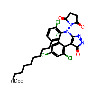 CCCCCCCCCCCCCCCCCCc1ccc(Cl)c(N(C2=C(c3c(Cl)cc(Cl)cc3Cl)C(=O)N=N2)N2C(=O)CCC2=O)c1